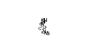 CC1=NC(C)(C)C(C)(C)N1c1cccc(-c2c3ccccc3c(-c3cccc(N4C(C)=NC(C)(C)C4(C)C)n3)c3ccccc23)n1